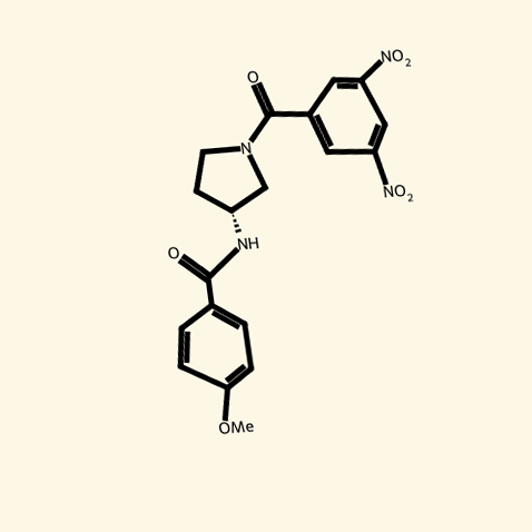 COc1ccc(C(=O)N[C@@H]2CCN(C(=O)c3cc([N+](=O)[O-])cc([N+](=O)[O-])c3)C2)cc1